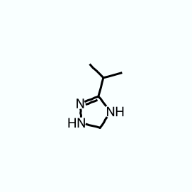 CC(C)C1=NNCN1